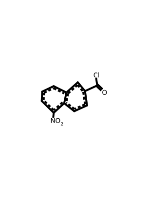 O=C(Cl)c1ccc2c([N+](=O)[O-])cccc2c1